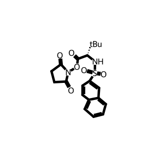 CC(C)(C)[C@H](NS(=O)(=O)c1ccc2ccccc2c1)C(=O)ON1C(=O)CCC1=O